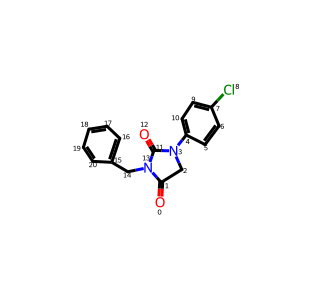 O=C1CN(c2ccc(Cl)cc2)C(=O)N1Cc1ccccc1